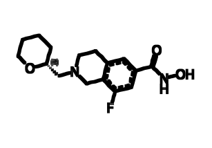 O=C(NO)c1cc(F)c2c(c1)CCN(C[C@H]1CCCCO1)C2